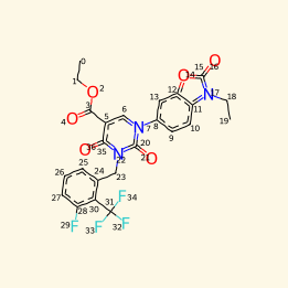 CCOC(=O)c1cn(-c2ccc3c(c2)oc(=O)n3CC)c(=O)n(Cc2cccc(F)c2C(F)(F)F)c1=O